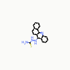 NC(=S)NNc1c2ccccc2nc2c1ccc1ccccc12